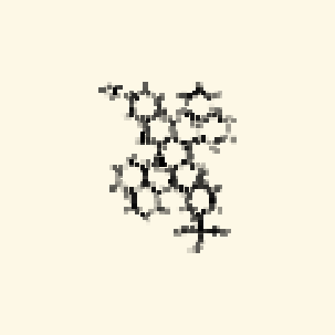 Cc1ccc2nc3c(nc2c1)N(c1cccc2ccccc12)c1nc2cc(C(F)(F)F)ccc2nc1N3c1cccc2ccccc12